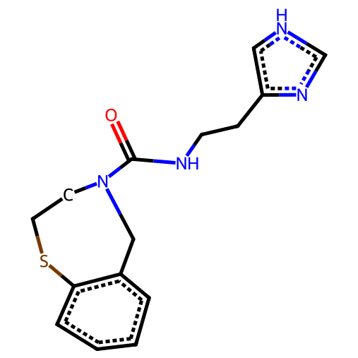 O=C(NCCc1c[nH]cn1)N1CCSc2ccccc2C1